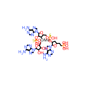 COC1C(COP(O)(=S)OC2CC(CCP(=O)(O)O)OC2n2cnc3c(N)ncnc32)OC(n2cnc3c(N)ncnc32)C1OP(O)(=S)OCC1OC(n2cnc3c(N)ncnc32)C(O)C1O